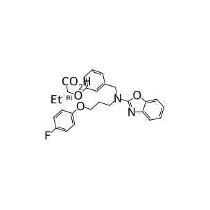 CC[C@@H](Oc1cccc(CN(CCCOc2ccc(F)cc2)c2nc3ccccc3o2)c1)C(=O)O